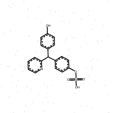 O=S(=O)(O)Oc1ccc(C(c2ccc(O)cc2)c2ccccn2)cc1